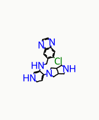 Clc1cc2nccnc2cc1CNC1=CNCC=C1N1CC2CNCC2C1